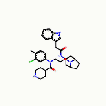 Cc1ccc(N(CCCN2C3CCC2CC(NC(=O)Cc2c[nH]c4ccccc24)C3)C(=O)C2CCNCC2)cc1Cl